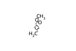 C=Cc1ccc(CC(=O)OCC)cc1